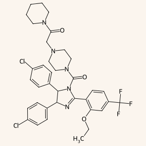 CCOc1cc(C(F)(F)F)ccc1C1=NC(c2ccc(Cl)cc2)C(c2ccc(Cl)cc2)N1C(=O)N1CCN(CC(=O)N2CCCCC2)CC1